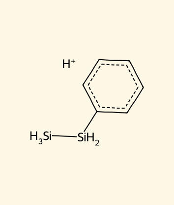 [H+].[SiH3][SiH2]c1ccccc1